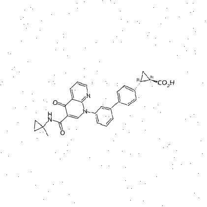 CC1(NC(=O)c2cn(-c3cccc(-c4ccc([C@@H]5C[C@H]5C(=O)O)cc4)c3)c3ncccc3c2=O)CC1